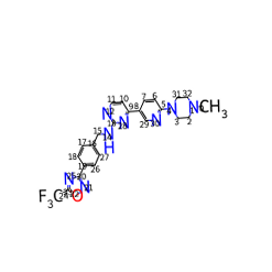 CN1CCN(c2ccc(-c3ccnc(NCc4ccc(-c5noc(C(F)(F)F)n5)cc4)n3)cn2)CC1